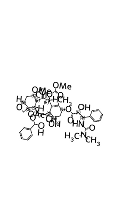 COC(=O)O[C@H]1C(=O)[C@]2(C)[C@@H](OC)C[C@H]3OC[C@@]3(OC(C)=O)[C@H]2[C@]2(OC(O)c3ccccc3)C[C@@]3(C)C1=C(C)[C@@H](OC(=O)[C@H](O)[C@@H](NC(=O)N(C)C)c1ccccc1)C[C@]32O